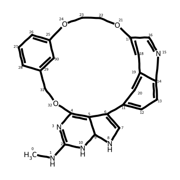 CNC1=NC2=C3C(=CNC3N1)c1ccc3ncc(cc3c1)OCCOc1cccc(c1)CO2